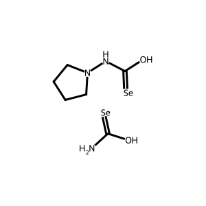 NC(O)=[Se].OC(=[Se])NN1CCCC1